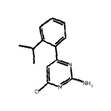 CC(C)c1ccccc1-c1cc(Cl)nc(N)n1